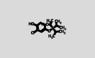 CC(C)[Si](OC1=CC(Cl)=C(O)[CH]C1)(C(C)C)C(C)C